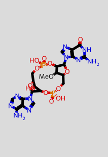 COC1C2COP(=O)(O)OC3C(O)C(COP(=O)(O)OC1C(n1cnc4c(=O)[nH]c(N)nc41)O2)OC3n1cnc2c(N)ncnc21